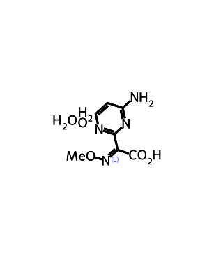 CO/N=C(/C(=O)O)c1nccc(N)n1.O.O